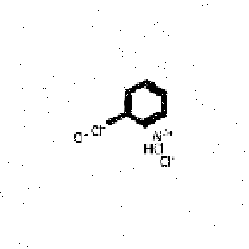 Cc1ccccc1.Cl.[Al+3].[Cl-].[Cl-].[Cl-]